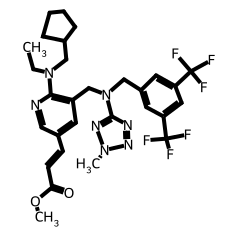 CCN(CC1CCCC1)c1ncc(/C=C/C(=O)OC)cc1CN(Cc1cc(C(F)(F)F)cc(C(F)(F)F)c1)c1nnn(C)n1